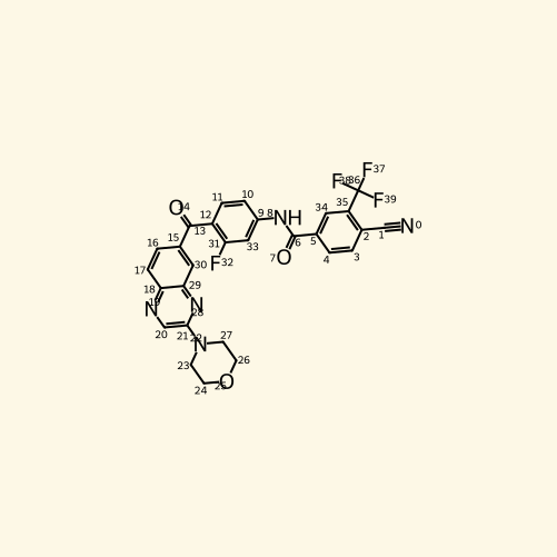 N#Cc1ccc(C(=O)Nc2ccc(C(=O)c3ccc4ncc(N5CCOCC5)nc4c3)c(F)c2)cc1C(F)(F)F